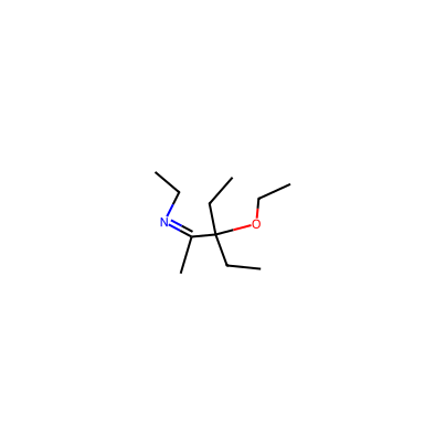 CCN=C(C)C(CC)(CC)OCC